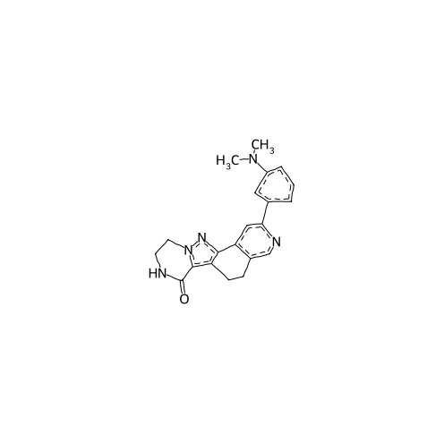 CN(C)c1cccc(-c2cc3c(cn2)CCc2c-3nn3c2C(=O)NCC3)c1